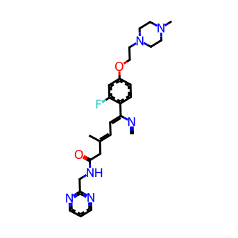 C=N/C(=C\C=C(/C)CC(=O)NCc1ncccn1)c1ccc(OCCN2CCN(C)CC2)cc1F